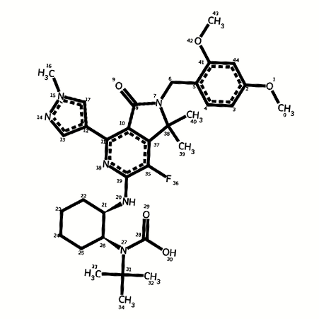 COc1ccc(CN2C(=O)c3c(-c4cnn(C)c4)nc(N[C@@H]4CCCC[C@@H]4N(C(=O)O)C(C)(C)C)c(F)c3C2(C)C)c(OC)c1